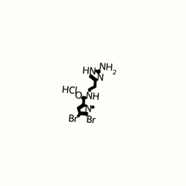 Cl.Cn1c(C(=O)NCCc2c[nH]c(N)n2)cc(Br)c1Br